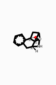 c1ccc2c(c1)C[C@H]1NCC[C@@]23CC2CC[C@@]13O2